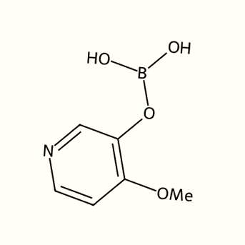 COc1ccncc1OB(O)O